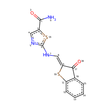 NC(=O)c1cnc(NC=C2Sc3ccccc3C2=O)s1